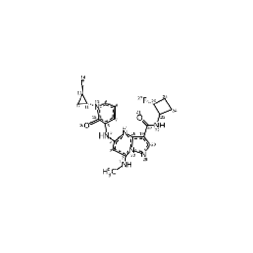 CNc1cc(Nc2cccn([C@@H]3C[C@H]3F)c2=O)nc2c(C(=O)NC3CC[C@H]3F)cnn12